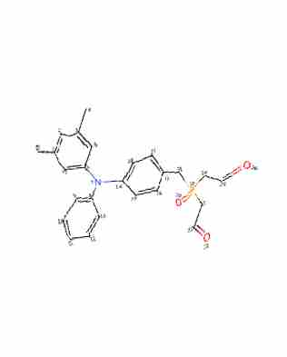 Cc1cc(C)cc(N(c2ccccc2)c2ccc(CP(=O)(CC=O)CC=O)cc2)c1